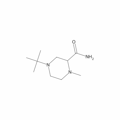 CN1CCN(C(C)(C)C)CC1C(N)=O